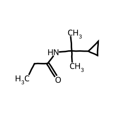 CCC(=O)NC(C)(C)C1CC1